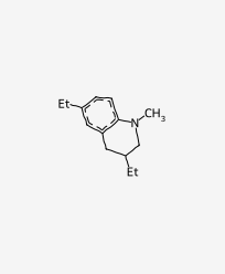 CCc1ccc2c(c1)CC(CC)CN2C